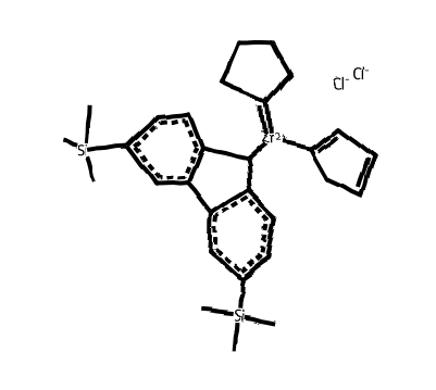 C[Si](C)(C)c1ccc2c(c1)-c1cc([Si](C)(C)C)ccc1[CH]2[Zr+2]([C]1=CC=CC1)=[C]1CCCC1.[Cl-].[Cl-]